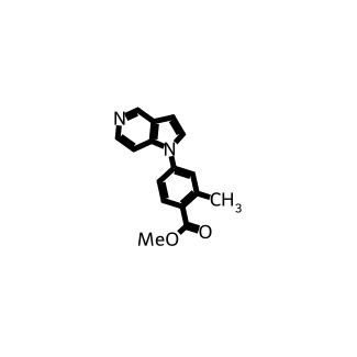 COC(=O)c1ccc(-n2ccc3cnccc32)cc1C